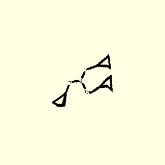 C1CC1OB(OC1CC1)OC1CC1